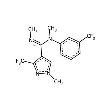 C/N=C(/c1cn(C)nc1C(F)(F)F)N(C)c1cccc(C(F)(F)F)c1